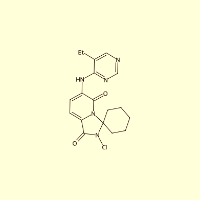 CCc1cncnc1Nc1ccc2n(c1=O)C1(CCCCC1)N(Cl)C2=O